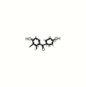 Cc1c(O)ccc(C(=O)c2ccc(O)cc2)c1C